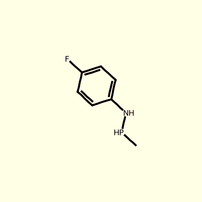 CPNc1ccc(F)cc1